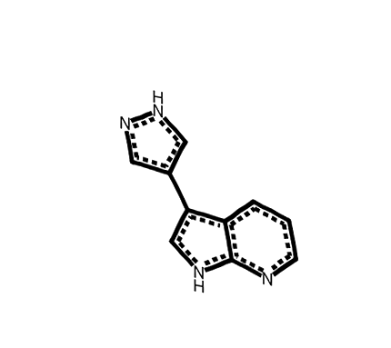 c1cnc2[nH]cc(-c3cn[nH]c3)c2c1